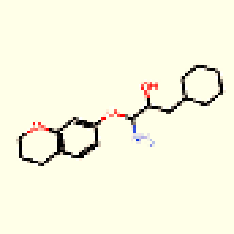 NC(Oc1ccc2c(c1)OCCC2)C(O)CC1CCCCC1